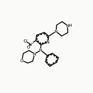 O=[N+]([O-])c1ccc(N2CCNCC2)nc1N(c1ccccc1)N1CCOCC1